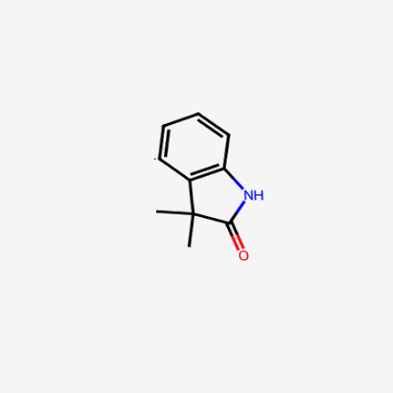 CC1(C)C(=O)Nc2ccc[c]c21